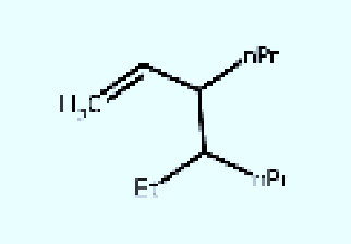 C=CC(CCC)C(CC)CCC